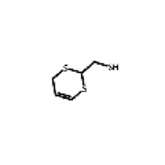 SCC1SC=CCS1